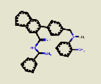 CN(Cc1ccc(-c2cc3ccccc3cc2C(=N)NC(N)c2ccccc2)cc1)c1ccccc1N